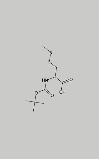 CSSCC(NC(=O)OC(C)(C)C)C(=O)O